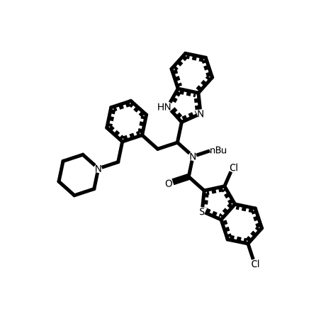 CCCCN(C(=O)c1sc2cc(Cl)ccc2c1Cl)C(Cc1ccccc1CN1CCCCC1)c1nc2ccccc2[nH]1